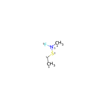 CCSN(C)F